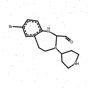 O=CC1Nc2ccc(Br)cc2CCN1C1CCNCC1